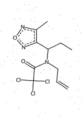 C=CCN(C(=O)C(Cl)(Cl)Cl)C(CC)c1nonc1C